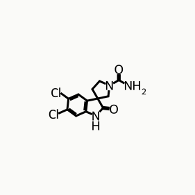 NC(=O)N1CCC2(C1)C(=O)Nc1cc(Cl)c(Cl)cc12